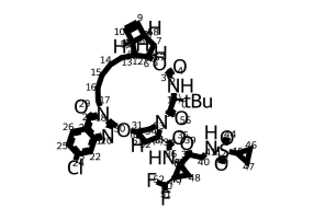 CC(C)(C)[C@@H]1NC(=O)O[C@@H]2C[C@@H]3C#C[C@@H]3[C@H]2CCCCCn2c(nc3cc(Cl)ccc3c2=O)O[C@@H]2C[C@@H](C(=O)N[C@]3(C(=O)CNS(=O)(=O)C4CC4)C[C@H]3C(F)F)N(C2)C1=O